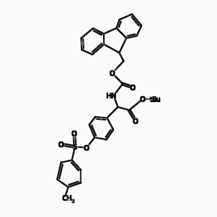 Cc1ccc(S(=O)(=O)Oc2ccc(C(NC(=O)OCC3c4ccccc4-c4ccccc43)C(=O)OC(C)(C)C)cc2)cc1